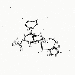 CC(C)(C)Nc1nc(N2CCCC2)c2ncn(Cc3ncccc3Cl)c2n1